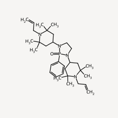 C=CCN1C(C)(C)CC(N2CCN(C3CC(C)(C)N(CC=C)C(C)(C)C3)P2(=O)c2ccccc2)CC1(C)C